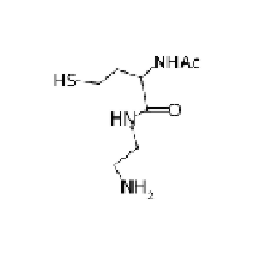 CC(=O)NC(CCS)C(=O)NCCN